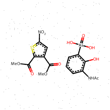 CC(=O)Nc1cccc([As](=O)(O)O)c1O.COC(=O)c1cc([N+](=O)[O-])sc1C(=O)OC